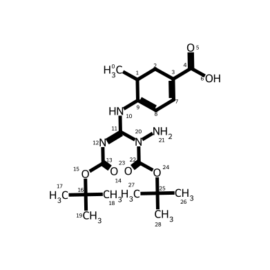 CC1CC(C(=O)O)=CC=C1N/C(=N/C(=O)OC(C)(C)C)N(N)C(=O)OC(C)(C)C